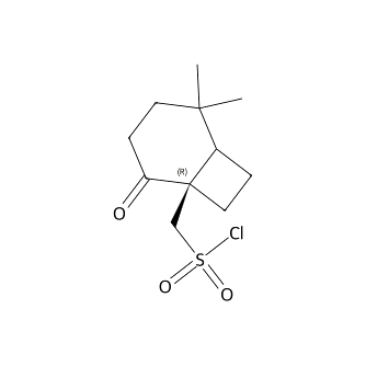 CC1(C)CCC(=O)[C@@]2(CS(=O)(=O)Cl)CCC12